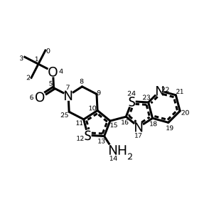 CC(C)(C)OC(=O)N1CCc2c(sc(N)c2-c2nc3cccnc3s2)C1